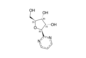 OC[C@@H]1O[C@H](c2ncccn2)[C@@H](O)[C@H]1O